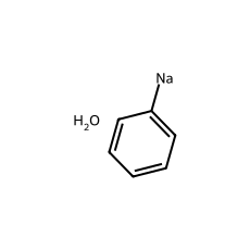 O.[Na][c]1ccccc1